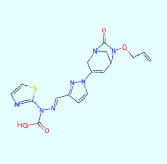 C=CCON1C(=O)N2CC(n3ccc(/C=N/N(C(=O)O)c4nccs4)n3)=CC1C2